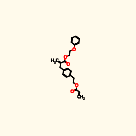 C=CC(=O)OCCc1ccc(CC(=C)C(=O)OCCOc2ccccc2)cc1